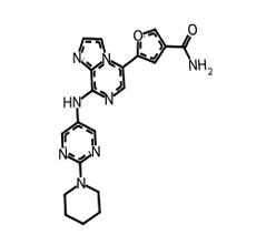 NC(=O)c1coc(-c2cnc(Nc3cnc(N4CCCCC4)nc3)c3nccn23)c1